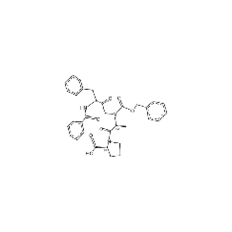 C[C@@H](C(=O)N1CCC[C@H]1C(=O)O)N(CC(=O)C(Cc1ccccc1)NC(=O)c1ccccc1)C(=O)OCc1ccccc1